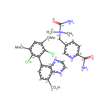 COc1cc(OC)c(Cl)c(-c2ccc(C(=O)O)c3nccnc23)c1Cl.C[N+](C)(Cc1ccc(C(N)=O)nc1)C(N)=O